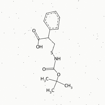 CC(C)(C)OC(=O)NSCC(C(=O)O)c1ccccc1